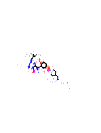 CCCN1CC2=C(C(=O)NC2c2cc(S(=O)(=O)N3CCC(CC(=N)N)CC3)ccc2OCC)N(C)C1